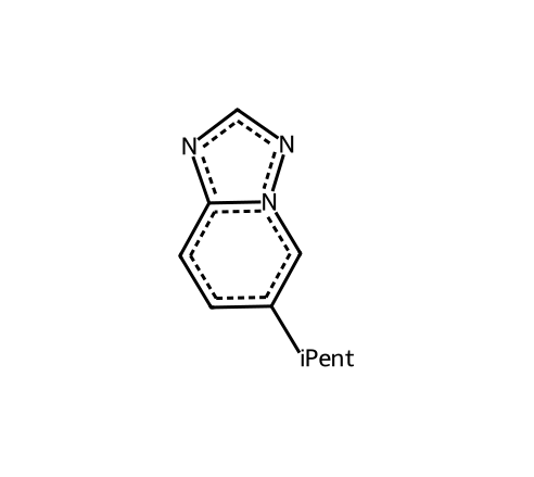 CCCC(C)c1ccc2ncnn2c1